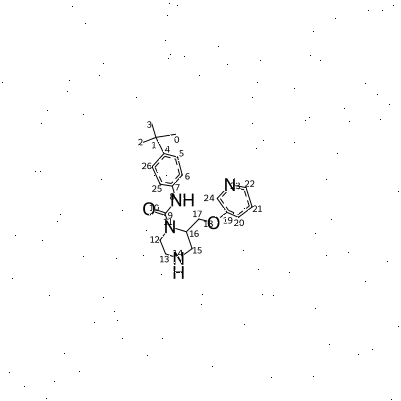 CC(C)(C)c1ccc(NC(=O)N2CCNCC2COc2cccnc2)cc1